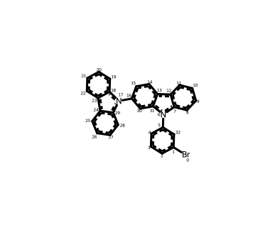 Brc1cccc(-n2c3ccccc3c3ccc(-n4c5ccccc5c5ccccc54)cc32)c1